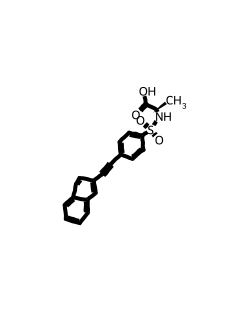 C[C@@H](NS(=O)(=O)c1ccc(C#Cc2ccc3ccccc3c2)cc1)C(=O)O